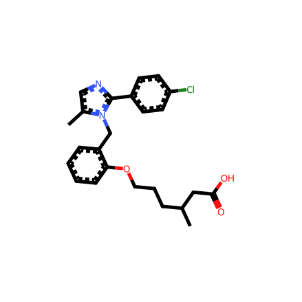 Cc1cnc(-c2ccc(Cl)cc2)n1Cc1ccccc1OCCCC(C)CC(=O)O